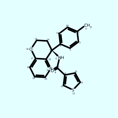 Cc1ccc([C@@]2(NC(=O)c3ccsc3)CCOc3cccnc32)cc1